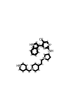 Clc1cnc(N[C@@H]2CCN(CCC3CCN(CC4CCNCC4)CC3)C2)nc1-c1c[nH]c2ccccc12